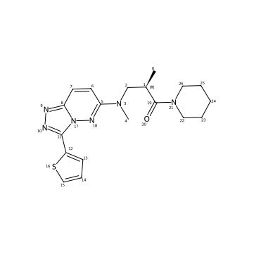 C[C@H](CN(C)c1ccc2nnc(-c3cccs3)n2n1)C(=O)N1CCCCC1